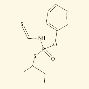 CCC(C)SP(=O)(NC=S)Oc1ccccc1